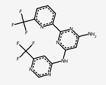 Nc1cc(Nc2cc(C(F)(F)F)ncn2)nc(-c2cccc(C(F)(F)F)n2)n1